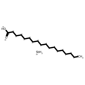 CCCCCCCCCCCCCCCCCC(=O)O.[SbH3]